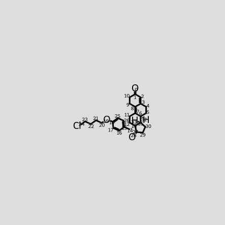 O=C1C=C2CC[C@@H]3C(=C2CC1)CC[C@]1(Cc2ccc(OCCCCCl)cc2)C(=O)CC[C@@H]31